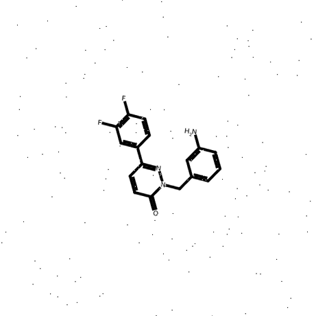 Nc1cccc(Cn2nc(-c3ccc(F)c(F)c3)ccc2=O)c1